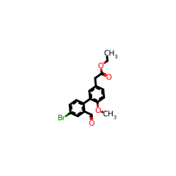 CCOC(=O)Cc1ccc(OC)c(-c2ccc(Br)cc2C=O)c1